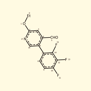 CCOc1cc(C=O)c(-c2ccc(F)c(F)c2F)cn1